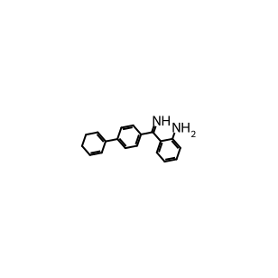 N=C(c1ccc(C2=CCCC=C2)cc1)c1ccccc1N